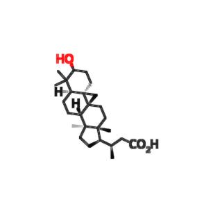 C[C@H](CC(=O)O)[C@H]1CC[C@@]2(C)[C@@H]3CC[C@H]4C(C)(C)[C@@H](O)CC[C@@]45C[C@@]35CC[C@]12C